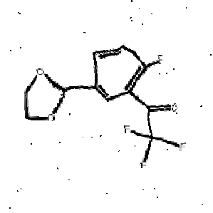 O=C(c1cc(C2OCCO2)ccc1F)C(F)(F)F